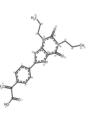 C=C(C(=O)O)c1ccc(-c2nc3c([nH]2)c(=O)n(CCC)c(=O)n3CCC)cc1